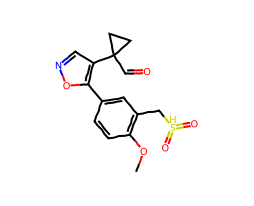 COc1ccc(-c2oncc2C2(C=O)CC2)cc1C[SH](=O)=O